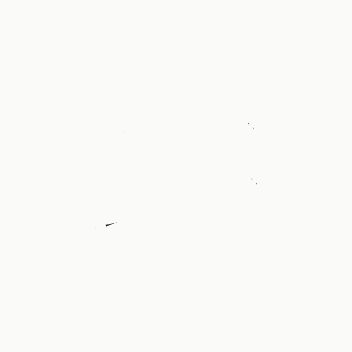 O=C(O)O[C@H]1CC[C@H](SSc2ccccn2)CC1.O=C(O)Oc1ccc([N+](=O)[O-])cc1